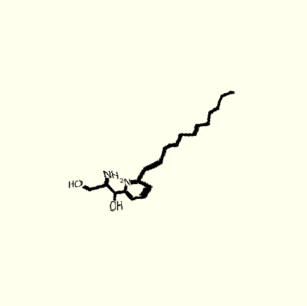 CCCCCCCCCC/C=C/c1cccc(C(O)C(N)CO)n1